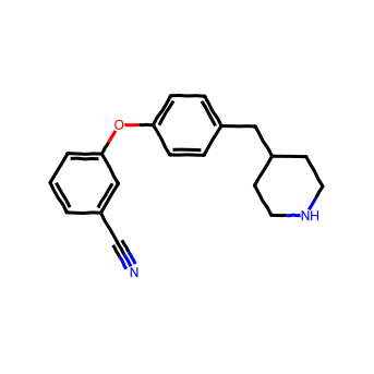 N#Cc1cccc(Oc2ccc(CC3CCNCC3)cc2)c1